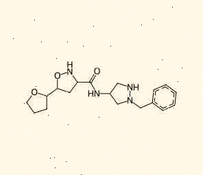 O=C(NC1CNN(Cc2ccccc2)C1)C1CC(C2CCCO2)ON1